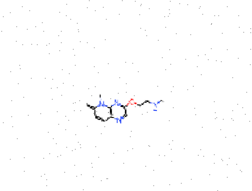 C=C1C=Cc2ncc(OCCNC)nc2N1C